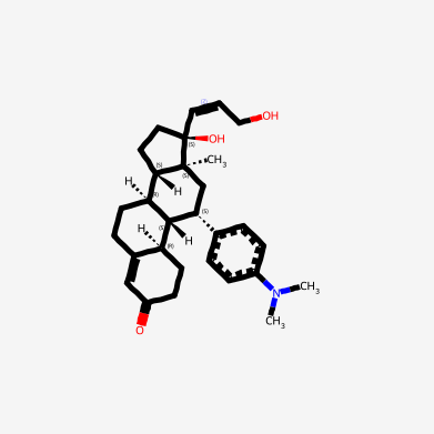 CN(C)c1ccc([C@H]2C[C@@]3(C)[C@@H](CC[C@]3(O)/C=C\CO)[C@@H]3CCC4=CC(=O)CC[C@@H]4[C@H]32)cc1